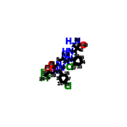 CC(C)(CNc1nc(Cn2nc(-c3ccc(Cl)cc3)n(CC(O)C(F)(F)F)c2=O)nn1-c1ccccc1Cl)C(N)=O